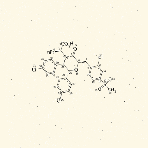 CCC[C@@H](C(=O)O)N1C(=O)[C@@H](Cc2ccc(S(C)(=O)=O)cc2F)O[C@H](c2ccc(Cl)cc2)[C@@H]1c1ccc(Cl)cc1